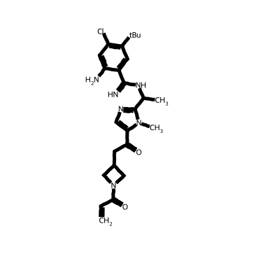 C=CC(=O)N1CC(CC(=O)c2cnc(C(C)NC(=N)c3cc(C(C)(C)C)c(Cl)cc3N)n2C)C1